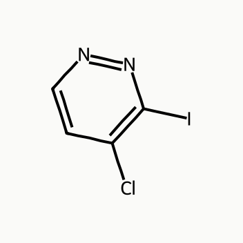 Clc1ccnnc1I